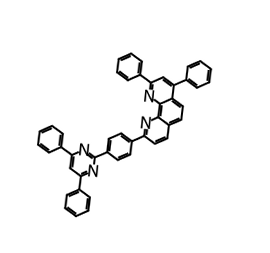 c1ccc(-c2cc(-c3ccccc3)nc(-c3ccc(-c4ccc5ccc6c(-c7ccccc7)cc(-c7ccccc7)nc6c5n4)cc3)n2)cc1